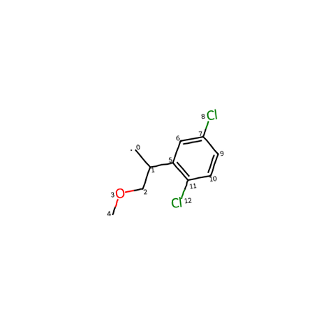 [CH2]C(COC)c1cc(Cl)ccc1Cl